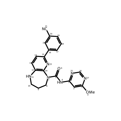 COc1cc(NC(=O)N2CCCNc3ccc(-c4cccc(C#N)c4)nc32)ncn1